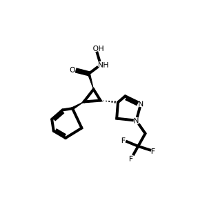 O=C(NO)[C@@H]1[C@H](C2C=CC=CC2)[C@H]1C1C=NN(CC(F)(F)F)C1